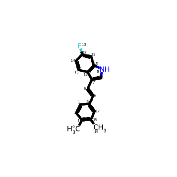 Cc1ccc(/C=C/c2c[nH]c3cc(F)ccc23)cc1C